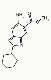 COC(=O)c1cc2nn(C3CCCCC3)cc2cc1N